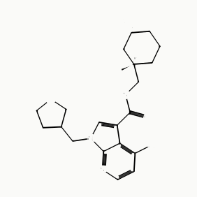 C[C@@H]1CCC[C@](O)(CNC(=O)c2cn(CC3CCOC3)c3nccc(Cl)c23)C1